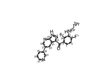 CCCSNc1c(F)ccc(C(=O)c2n[nH]c3ncc(-c4cccnc4)cc23)c1F